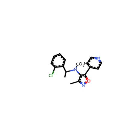 Cc1noc(-c2ccncc2)c1N(C(=O)O)C(C)c1ccccc1Cl